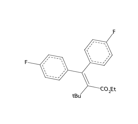 CCOC(=O)C(=C(c1ccc(F)cc1)c1ccc(F)cc1)C(C)(C)C